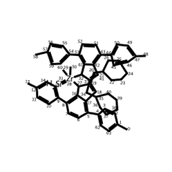 Cc1ccc(-c2ccc(-c3ccc(C)cc3)c3c2C=C(CC2CCCCC2)[CH]3[Zr]([CH3])([CH3])(=[SiH2])[CH]2C(CC3CCCCC3)=Cc3c(-c4ccc(C)cc4)ccc(-c4ccc(C)cc4)c32)cc1